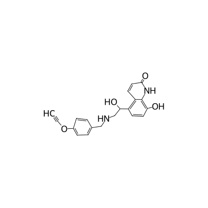 C#COc1ccc(CNCC(O)c2ccc(O)c3[nH]c(=O)ccc23)cc1